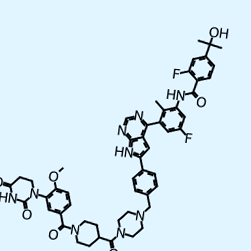 COc1ccc(C(=O)N2CCC(C(=O)N3CCN(Cc4ccc(-c5cc6c(-c7cc(F)cc(NC(=O)c8ccc(C(C)(C)O)cc8F)c7C)ncnc6[nH]5)cc4)CC3)CC2)cc1N1CCC(=O)NC1=O